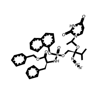 CC(O[C@@](COP(=O)(N[C@@H](Cc1ccccc1)C(=O)OCc1ccccc1)Oc1cccc2ccccc12)(N=[N+]=[N-])C(C)C)n1ccc(=O)[nH]c1=O